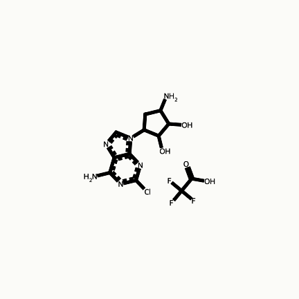 Nc1nc(Cl)nc2c1ncn2C1CC(N)C(O)C1O.O=C(O)C(F)(F)F